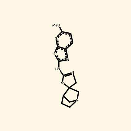 COc1ccc2nc(NC3=NCC4(CN5CCC4C5)O3)sc2n1